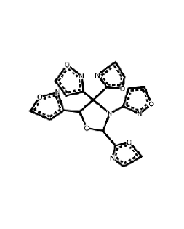 c1coc(C2O[C](c3ccon3)C(c3ccon3)(c3ncco3)N2c2ccon2)n1